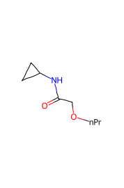 [CH2]CCOCC(=O)NC1CC1